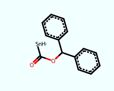 O=[C]([SnH])OC(c1ccccc1)c1ccccc1